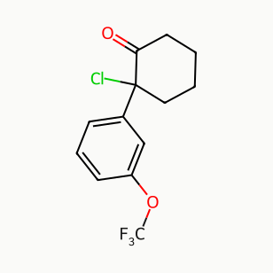 O=C1CCCCC1(Cl)c1cccc(OC(F)(F)F)c1